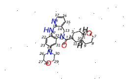 O=C([C@H]1CC[C@@H]2OCCC[C@@H]2C1)N1Cc2cccnc2Nc2ccc(N3CCOCC3)cc21